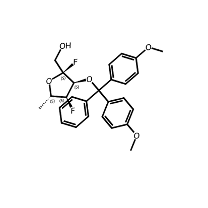 COc1ccc(C(O[C@H]2[C@@H](F)[C@H](C)O[C@]2(F)CO)(c2ccccc2)c2ccc(OC)cc2)cc1